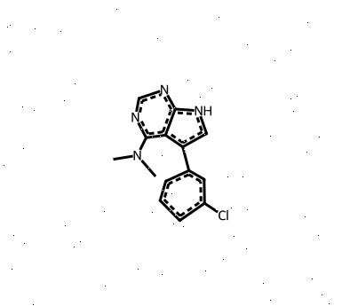 CN(C)c1ncnc2[nH]cc(-c3cccc(Cl)c3)c12